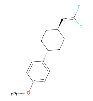 CCCOc1ccc([C@H]2CC[C@H](C=C(F)F)CC2)cc1